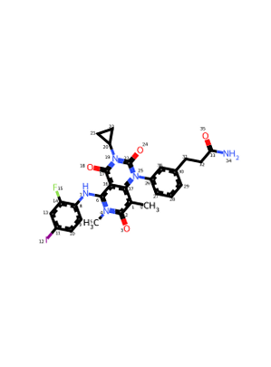 Cc1c(=O)n(C)c(Nc2ccc(I)cc2F)c2c(=O)n(C3CC3)c(=O)n(-c3cccc(CCC(N)=O)c3)c12